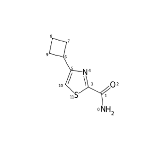 NC(=O)c1nc(C2CCC2)cs1